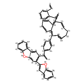 C=Cc1ccccc1C(=C)C1=c2\cccc\c2=C(c2ccc(C(=C)c3cc4c(cc3-c3cc5ccccc5o3)oc3ccccc34)cc2)\C=C\CC\C=C\1